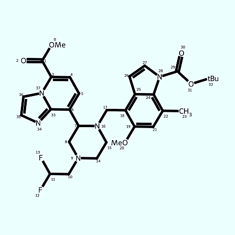 COC(=O)c1ccc(C2CN(CC(F)F)CCN2Cc2c(OC)cc(C)c3c2ccn3C(=O)OC(C)(C)C)c2nccn12